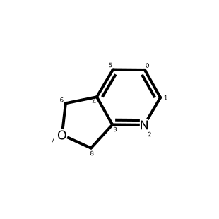 c1cnc2c(c1)COC2